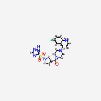 O=C([C@H]1CCN(S(=O)(=O)c2ncn[nH]2)C1)N1CCN(c2ccnc3ccc(F)cc23)CC1